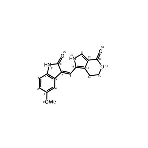 COc1ccc2c(c1)C(=Cc1[nH]cc3c1CCOC3=O)C(=O)N2